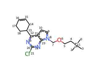 C[Si](C)(C)CCOCn1ccc2c(C3CC=CCC3)nc(Cl)nc21